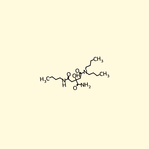 CCCCNC(=O)CC(O)(CC(=O)N(CCCC)CCCC)C(N)=O